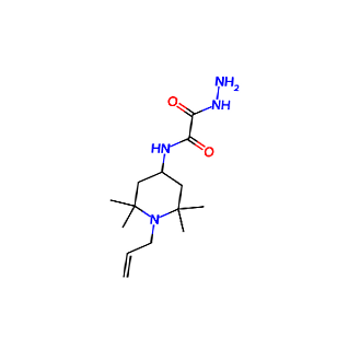 C=CCN1C(C)(C)CC(NC(=O)C(=O)NN)CC1(C)C